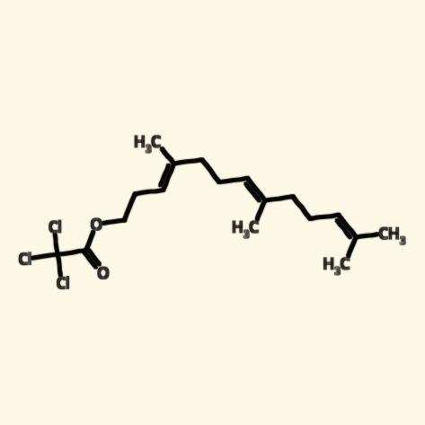 CC(C)=CCC/C(C)=C/CCC(C)=CCCOC(=O)C(Cl)(Cl)Cl